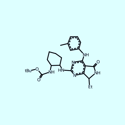 CCC1NC(=O)c2c(Nc3cccc(C)c3)nc(NC3CCCCC3NC(=O)OC(C)(C)C)nc21